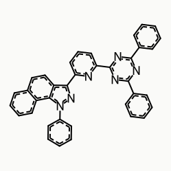 c1ccc(-c2nc(-c3ccccc3)nc(-c3cccc(-c4nn(-c5ccccc5)c5c4ccc4ccccc45)n3)n2)cc1